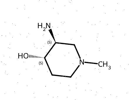 CN1CC[C@H](O)[C@@H](N)C1